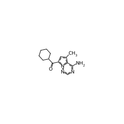 Cc1cc(C(=O)C2CCCCC2)n2ncnc(N)c12